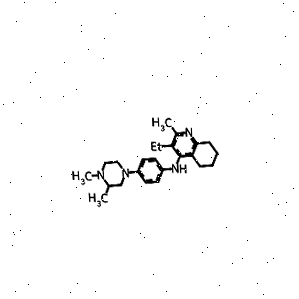 CCc1c(C)nc2c(c1Nc1ccc(N3CCN(C)C(C)C3)cc1)CCCC2